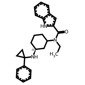 CCN(C(=O)c1cc2ccccc2[nH]1)C1CCC[C@H](NC2(c3ccccc3)CC2)C1